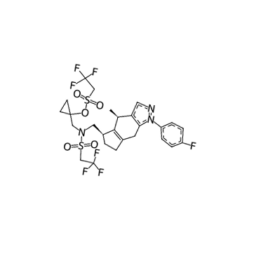 C[C@@H]1C2=C(CC[C@H]2CN(CC2(OS(=O)(=O)CC(F)(F)F)CC2)S(=O)(=O)CC(F)(F)F)Cc2c1cnn2-c1ccc(F)cc1